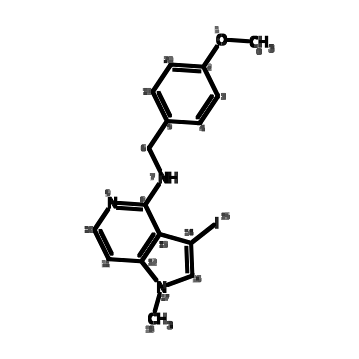 COc1ccc(CNc2nccc3c2c(I)cn3C)cc1